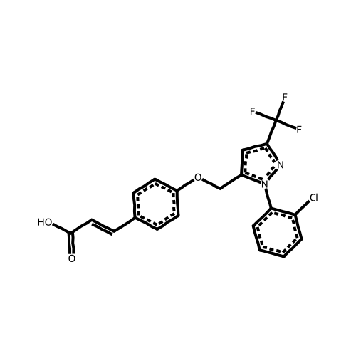 O=C(O)C=Cc1ccc(OCc2cc(C(F)(F)F)nn2-c2ccccc2Cl)cc1